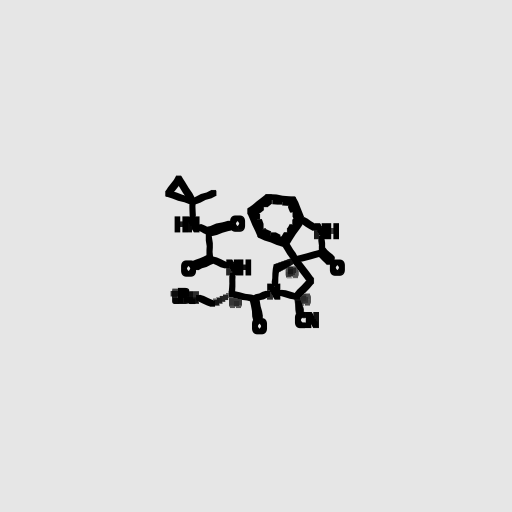 CC(C)(C)C[C@H](NC(=O)C(=O)NC1(C)CC1)C(=O)N1C[C@]2(C[C@H]1C#N)C(=O)Nc1ccccc12